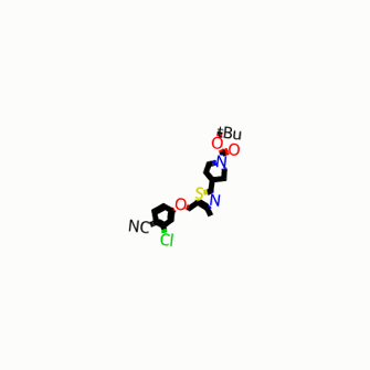 Cc1nc(C2CCN(C(=O)OC(C)(C)C)CC2)sc1COc1ccc(C#N)c(Cl)c1